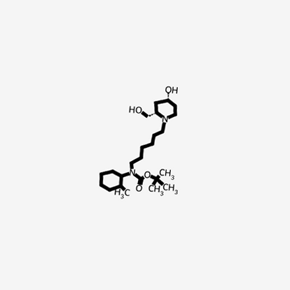 CC1CCCCC1N(CCCCCCN1CC[C@@H](O)C[C@H]1CO)C(=O)OC(C)(C)C